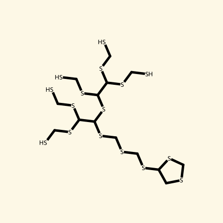 SCSC(SCS)C(SCS)SC(SCSCSC1CSCS1)C(SCS)SCS